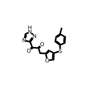 Cc1ccc(Sc2coc(CC(=O)C(=O)c3nc[nH]n3)c2)cc1